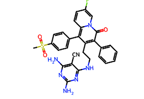 CS(=O)(=O)c1ccc(-c2c(CCNc3nc(N)nc(N)c3C#N)c(-c3ccccc3)c(=O)n3cc(F)ccc23)cc1